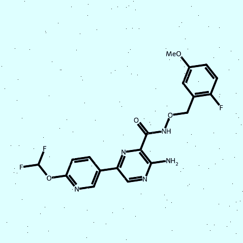 COc1ccc(F)c(CONC(=O)c2nc(-c3ccc(OC(F)F)nc3)cnc2N)c1